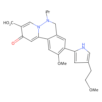 COCCc1c[nH]c(-c2cc3c(cc2OC)-c2cc(=O)c(C(=O)O)cn2N(C(C)C)C3)c1